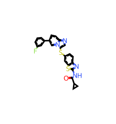 O=C(Nc1nc2ccc(Sc3cnc4ccc(-c5cccc(F)c5)cn34)cc2s1)C1CC1